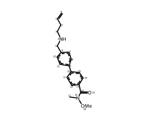 C=CCCNCc1ccc(-c2ccc(C(=O)N(C)OC)cc2)cc1